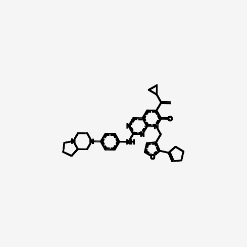 C=C(c1cc2cnc(Nc3ccc(N4CCN5CCCC5C4)cc3)nc2n(Cc2ccoc2C2=CCCC2)c1=O)C1CC1